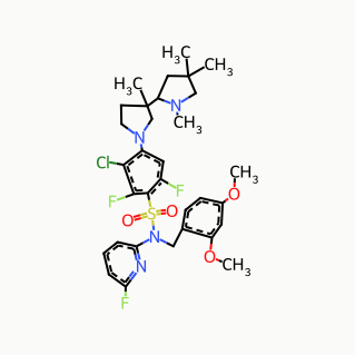 COc1ccc(CN(c2cccc(F)n2)S(=O)(=O)c2c(F)cc(N3CCC(C)(C4CC(C)(C)CN4C)C3)c(Cl)c2F)c(OC)c1